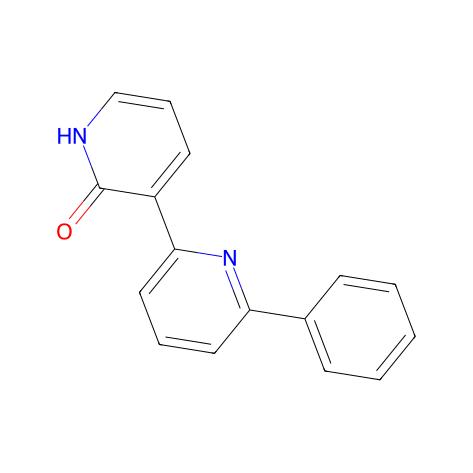 O=c1[nH]cccc1-c1cccc(-c2ccccc2)n1